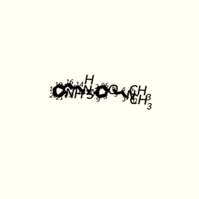 CN(C)CCCOc1ccc(SNCCc2cc3ccccc3[nH]2)cc1